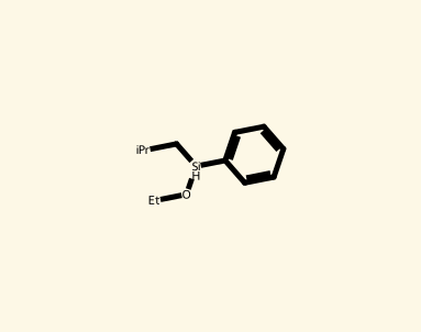 CCO[SiH](CC(C)C)c1ccccc1